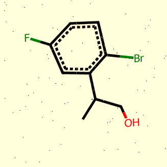 C[C](CO)c1cc(F)ccc1Br